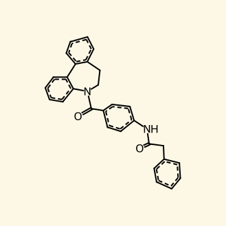 O=C(Cc1ccccc1)Nc1ccc(C(=O)N2CCc3ccccc3-c3ccccc32)cc1